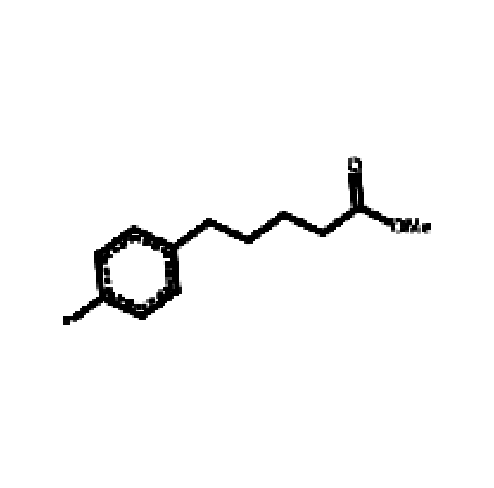 COC(=O)CCCCc1ccc(F)cc1